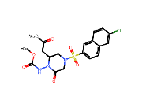 COC(=O)CC1CN(S(=O)(=O)c2ccc3cc(Cl)ccc3c2)CC(=O)N1NC(=O)OC(C)(C)C